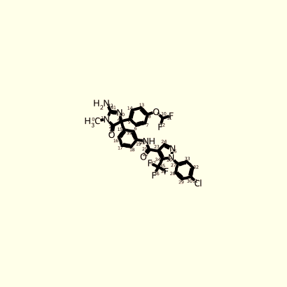 CN1C(=O)C(c2ccc(OC(F)F)cc2)(c2cccc(NC(=O)c3cnn(-c4ccc(Cl)cc4)c3C(F)(F)F)c2)N=C1N